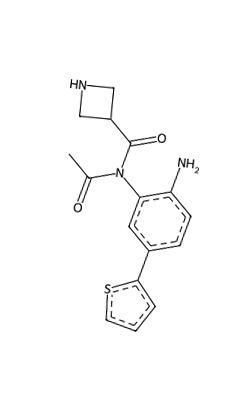 CC(=O)N(C(=O)C1CNC1)c1cc(-c2cccs2)ccc1N